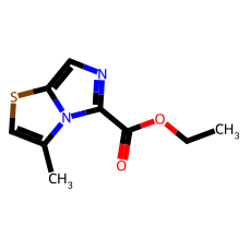 CCOC(=O)c1ncc2scc(C)n12